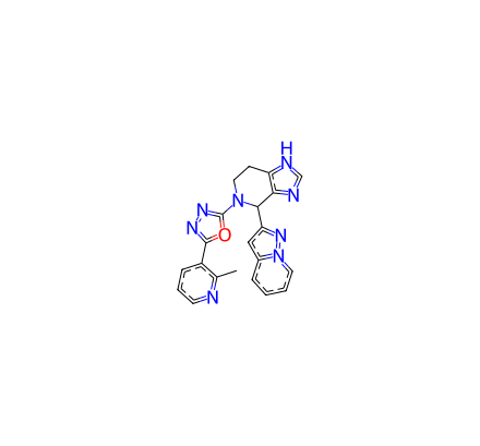 Cc1ncccc1-c1nnc(N2CCc3[nH]cnc3C2c2cc3ccccn3n2)o1